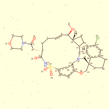 CO[C@@H]1/C=C/CC[C@@H](CC(=O)N2CCOCC2)C(=O)NS(=O)(=O)c2ccc3c(c2)N(C[C@@H]2CC[C@H]21)C[C@@]1(CCCc2cc(Cl)ccc21)CO3